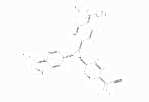 C#CC(C#N)=c1ccc(=C2C(=c3ccc(=C(C#N)C#N)cc3)C2=c2ccc(=C(C#N)C#N)cc2)cc1